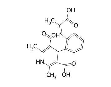 CC(=Cc1ccccc1C1C(C(=O)O)=C(C)NC(C)=C1C(=O)O)C(=O)O